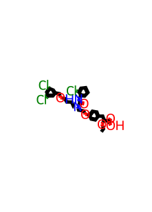 CCOC(Cc1ccc(OCCN(CCCCOCc2cc(Cl)cc(Cl)c2)C(=O)Nc2ccccc2Cl)cc1)C(=O)O